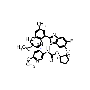 C=C(/C=N\c1c(C)cc(C)cc1-c1nc2cc(F)c(O[C@H]3CCC[C@H]3OC(=O)Nc3ccc(OC)nc3)cc2s1)OC